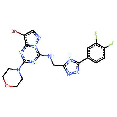 Fc1ccc(-c2nnc(CNc3nc(N4CCOCC4)nc4c(Br)cnn34)[nH]2)cc1F